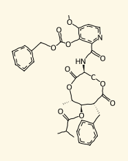 COc1ccnc(C(=O)N[C@H]2COC(=O)[C@H](Cc3ccccc3)[C@@H](OC(=O)C(C)C)[C@H](C)OC2=O)c1OC(=O)OCc1ccccc1